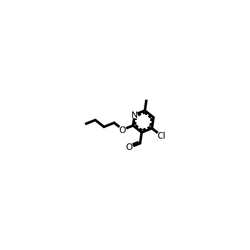 CCCCOc1nc(C)cc(Cl)c1C=O